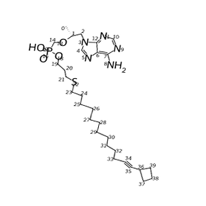 C[C@H](Cn1cnc2c(N)ncnc21)OCP(=O)(O)OCCCSCCCCCCCCCCCC#CC1CCC1